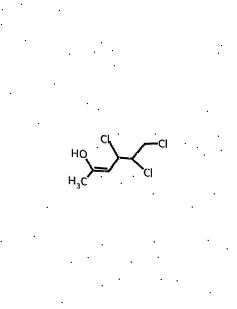 CC(O)=CC(Cl)C(Cl)CCl